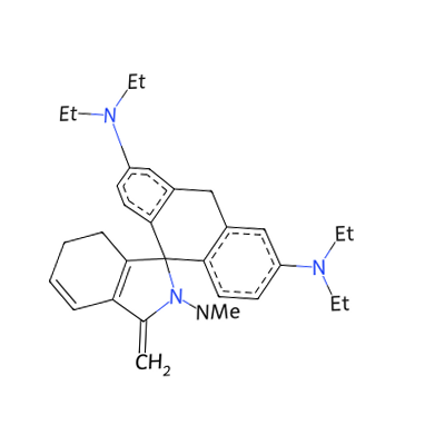 C=C1C2=C(CCC=C2)C2(c3ccc(N(CC)CC)cc3Cc3cc(N(CC)CC)ccc32)N1NC